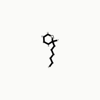 CCCCCCC1(C)CCCCO1